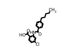 CCCCCc1ccc(C(=O)Nc2cc(Cl)ccc2C(=O)O)cc1